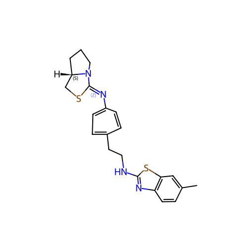 Cc1ccc2nc(NCCc3ccc(/N=C4\SC[C@@H]5CCCN45)cc3)sc2c1